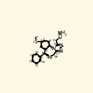 CSc1ccc2c(c1)C(c1ccccc1)=NCc1nnc(CON)n1-2